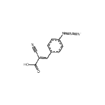 N#C/C(=C\c1ccc(N=[N+]=[N-])cc1)C(=O)O